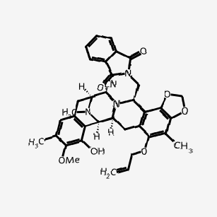 C=CCOc1c(C)c2c(c3c1C[C@H]1[C@H]4c5c(cc(C)c(OC)c5O)C[C@@H]([C@H](C#N)N1[C@H]3CN1C(=O)c3ccccc3C1=O)N4C)OCO2